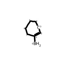 BC1=CCCCCC1